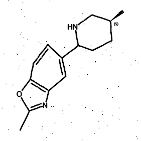 Cc1nc2cc(C3CC[C@H](C)CN3)ccc2o1